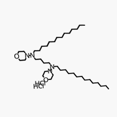 CCCCCCCCCCCCCCN(CCCCN(CCCCCCCCCCCCCC)N1CCOCC1)N1CCOCC1.Cl.Cl